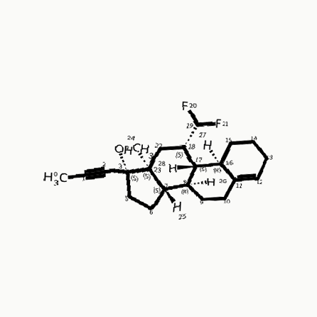 CC#C[C@]1(O)CC[C@H]2[C@@H]3CCC4=CCCC[C@@H]4[C@H]3[C@@H](C(F)F)C[C@@]21C